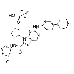 O=C(Nc1cccc(Cl)c1)c1cc2cnc(Nc3ccc(N4CCNCC4)cn3)nc2n1C1CCCC1.O=C(O)C(F)(F)F